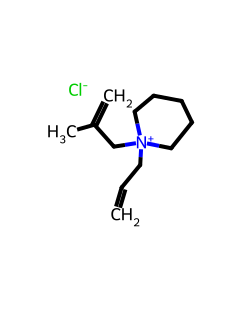 C=CC[N+]1(CC(=C)C)CCCCC1.[Cl-]